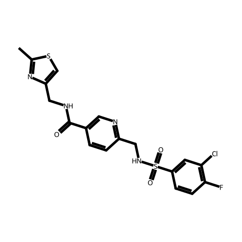 Cc1nc(CNC(=O)c2ccc(CNS(=O)(=O)c3ccc(F)c(Cl)c3)nc2)cs1